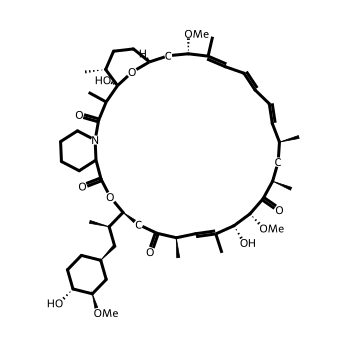 CO[C@H]1C[C@@H]2CC[C@@H](C)[C@@](O)(O2)C(C)C(=O)N2CCCCC2C(=O)O[C@H]([C@H](C)C[C@@H]2CC[C@@H](O)[C@H](OC)C2)CC(=O)[C@H](C)/C=C(\C)[C@@H](O)[C@@H](OC)C(=O)[C@H](C)C[C@H](C)/C=C/C=C/C=C/1C